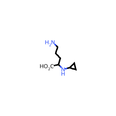 NCCCC(NC1CC1)C(=O)O